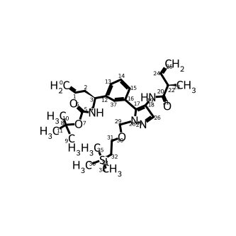 C=CC[C@H](NC(=O)OC(C)(C)C)c1cccc(-c2c(NC(=O)[C@H](C)C=C)cnn2COCC[Si](C)(C)C)c1